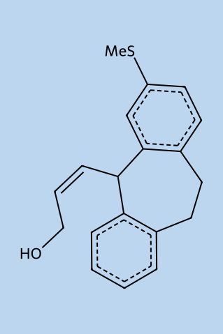 CSc1ccc2c(c1)C(/C=C\CO)c1ccccc1CC2